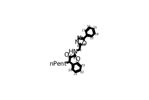 CCCCCC(C(=O)C(=O)NCc1nnc(-c2ccccc2)o1)c1ccccc1